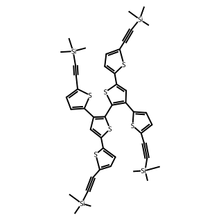 C[Si](C)(C)C#Cc1ccc(-c2cc(-c3ccc(C#C[Si](C)(C)C)s3)c(-c3sc(-c4ccc(C#C[Si](C)(C)C)s4)cc3-c3ccc(C#C[Si](C)(C)C)s3)s2)s1